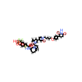 O=C1CCC(c2ccc(OCCCCCn3ccc([C@@H]4CN(C(=O)[C@@H]5CC[C@@H]6CCCC[C@H](NC(=O)c7cc8cc(C(F)(F)P(=O)(O)O)ccc8s7)C(=O)N65)C5(CC5)C4)cc3=O)cc2)C(=O)N1